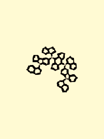 c1ccc2c(N(c3ccc4c(c3)c3ccccc3n4-c3cccc4ccccc34)c3c4ccccc4c(N(c4ccc5c(c4)c4ccccc4n5-c4cccc5ccccc45)c4cccc5ccccc45)c4ccccc34)cccc2c1